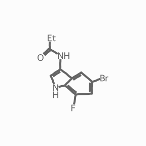 CCC(=O)Nc1c[nH]c2c(F)cc(Br)cc12